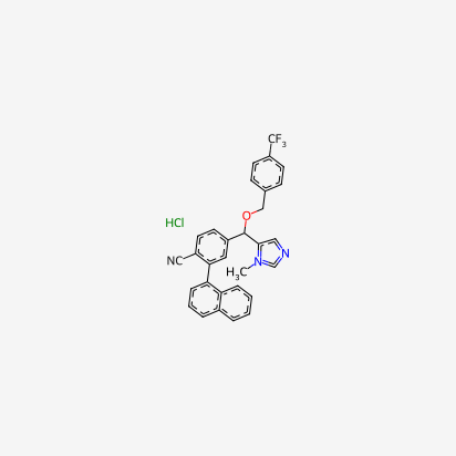 Cl.Cn1cncc1C(OCc1ccc(C(F)(F)F)cc1)c1ccc(C#N)c(-c2cccc3ccccc23)c1